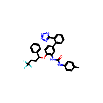 Cc1ccc(NC(=O)Nc2cc(-c3ccccc3-c3nnn[nH]3)ccc2OC(CCC(F)(F)F)c2ccccc2)cc1